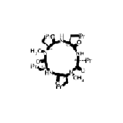 CC(C)C[C@@H]1NC(=O)[C@H](CC(C)C)N(C)C(=O)[C@H](CC(C)C)NC(=O)[C@H](CC(C)C)N(C)C(=O)[C@@H](C(C)C)NC1=O